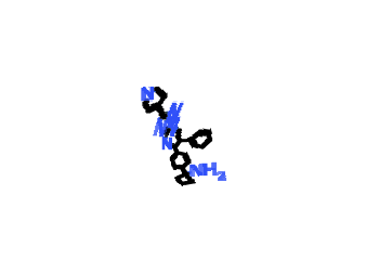 NC1(c2ccc(-c3nc4nc(-c5ccncc5)nn4cc3-c3ccccc3)cc2)CCC1